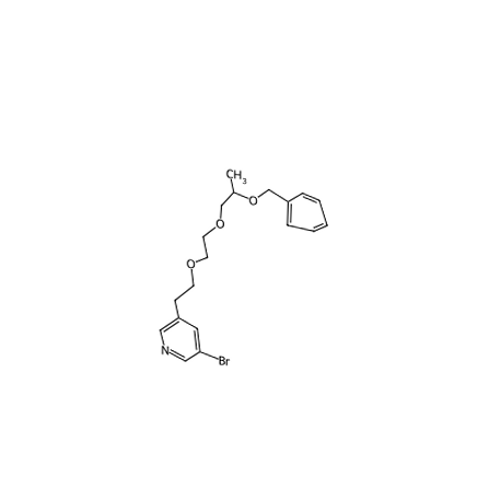 CC(COCCOCCc1cncc(Br)c1)OCc1ccccc1